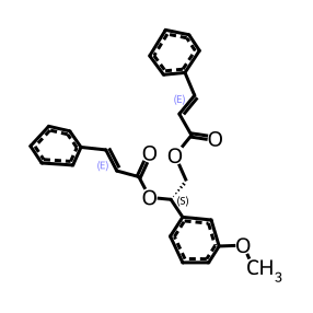 COc1cccc([C@@H](COC(=O)/C=C/c2ccccc2)OC(=O)/C=C/c2ccccc2)c1